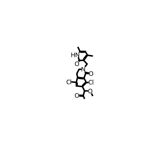 COC(C(C)=O)c1cc(Cl)c2c(c1Cl)C(=O)N(Cc1c(C)cc(C)[nH]c1=O)CC2